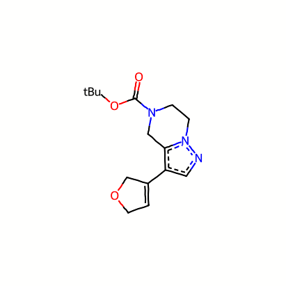 CC(C)(C)OC(=O)N1CCn2ncc(C3=CCOC3)c2C1